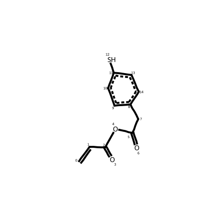 C=CC(=O)OC(=O)Cc1ccc(S)cc1